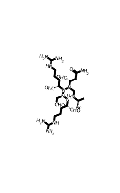 CC(=O)[C@H](C)NCN([C@H](C=O)CC(N)=O)N([C@H](C=O)CCCNC(N)N)N(CC=O)N[C@H](C=O)CCCNC(N)N